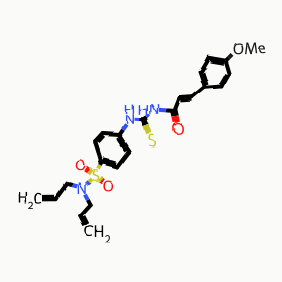 C=CCN(CC=C)S(=O)(=O)c1ccc(NC(=S)NC(=O)/C=C/c2ccc(OC)cc2)cc1